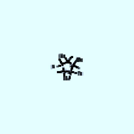 CCC(C)[Si]1(C)[Si](C)(C(C)CC)[Si](C)(C(C)CC)[Si](C)(C(C)CC)[Si]1(C)C(C)CC